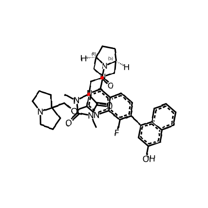 CN1C(=O)C(CC(=O)N2[C@@H]3CC[C@H]2CN(c2nc(OCC45CCCN4CCC5)nc4c(F)c(-c5cc(O)cc6ccccc56)ccc24)C3)N(C)C1=O